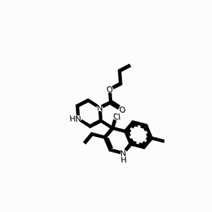 CCCOC(=O)N1CCNCC1C1(Cl)C(CC)=CNc2cc(C)ccc21